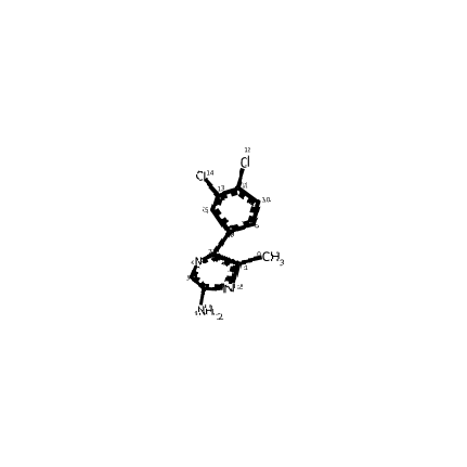 Cc1nc(N)cnc1-c1ccc(Cl)c(Cl)c1